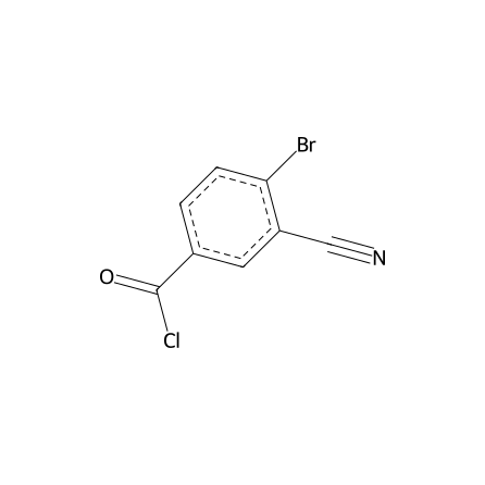 N#Cc1cc(C(=O)Cl)ccc1Br